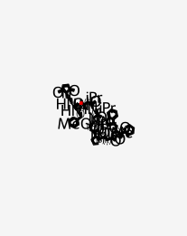 CC[C@H](C)[C@@H]([C@@H](CC(=O)N1CCC[C@H]1[C@H](OC)[C@@H](C)C(=O)N[C@@H](Cc1c[nH]c2ccccc12)C(=O)N1CCCCO1)OC)N(C)C(=O)[C@@H](NC(=O)[C@H](C(C)C)N(C)C[C@H](Cc1ccccc1)NC(=O)NCCN1C(=O)C=CC1=O)C(C)C